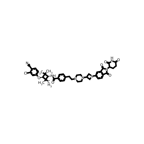 CC1(C)[C@H](NC(=O)c2ccc(CCN3CCN(C4CN(c5ccc6c(c5)C(=O)N(C5CCC(=O)NC5=O)C6=O)C4)CC3)cc2)C(C)(C)[C@H]1Oc1ccc(C#N)c(Cl)c1